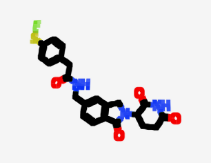 O=C(Cc1ccc(SF)cc1)NCc1ccc2c(c1)CN(C1CCC(=O)NC1=O)C2=O